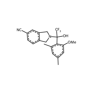 COc1cc(C)cc(C)c1C(O)(N1Cc2ccc(C#N)cc2C1)C(F)(F)F